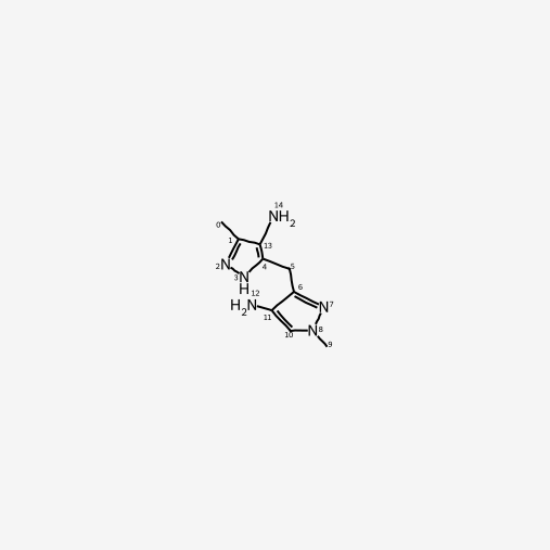 Cc1n[nH]c(Cc2nn(C)cc2N)c1N